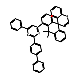 CC1(C)c2ccccc2C2(c3ccccc3Sc3ccccc32)c2cccc(-c3cc(-c4ccccc4)nc(-c4ccc(-c5ccccc5)cc4)n3)c21